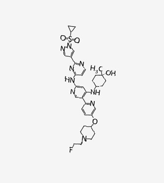 CC1(O)CCC(Nc2cc(Nc3ccnc(-c4cnn(S(=O)(=O)C5CC5)c4)n3)ncc2-c2ccc(OC3CCN(CCF)CC3)cn2)CC1